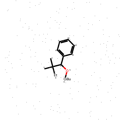 CCC(C)(C)C(OOCC(C)C)c1ccccc1